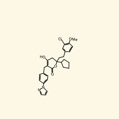 COc1ccc(CCC2(C3CCCC3)CC(O)=C(Cc3ccc(-n4cccn4)cc3)C(=O)O2)cc1Cl